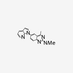 CNc1nc(C)c2cc(-n3ccc4cccnc43)ccc2n1